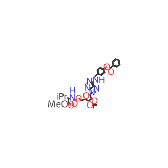 COC(=O)C(NC(=O)OCC1OC(n2cnc3c(NCc4ccc(OC(=O)c5ccccc5)cc4)ncnc32)C2OC(C)(C)OC12)C(C)C